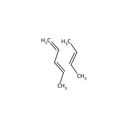 C=CC=CC.CC=CC